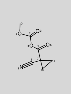 COC(=O)OC(=O)C1(C#N)CC1